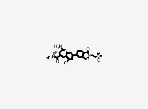 CCCN(CCC)C(=O)C1=Cc2c(Cl)cc(-c3ccc4c(=O)n(CCS(C)(=O)=O)ncc4c3)cc2N=C(N)C1